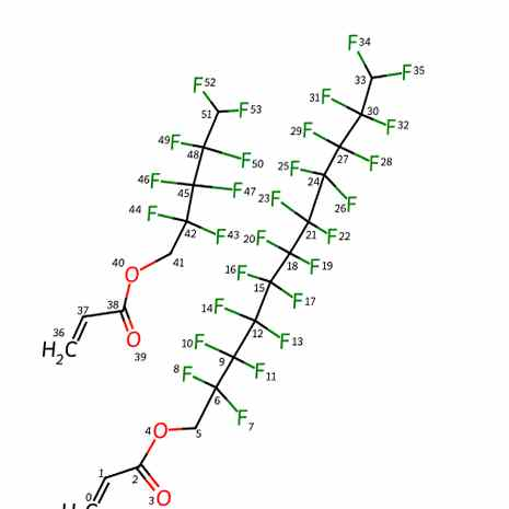 C=CC(=O)OCC(F)(F)C(F)(F)C(F)(F)C(F)(F)C(F)(F)C(F)(F)C(F)(F)C(F)(F)C(F)(F)C(F)F.C=CC(=O)OCC(F)(F)C(F)(F)C(F)(F)C(F)F